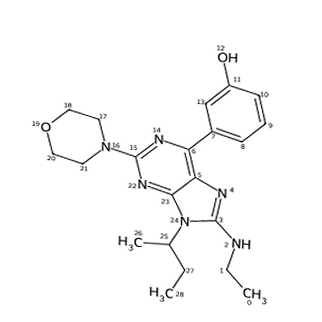 CCNc1nc2c(-c3cccc(O)c3)nc(N3CCOCC3)nc2n1C(C)CC